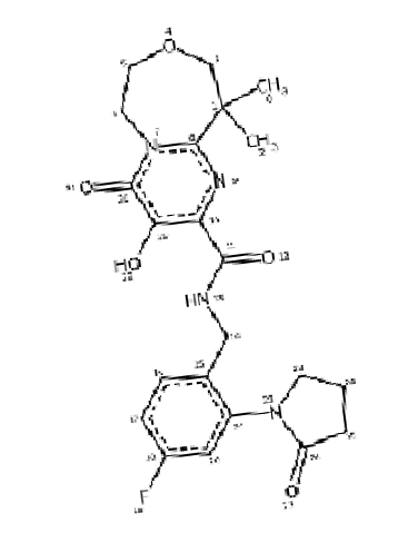 CC1(C)COCCn2c1nc(C(=O)NCc1ccc(F)cc1N1CCCC1=O)c(O)c2=O